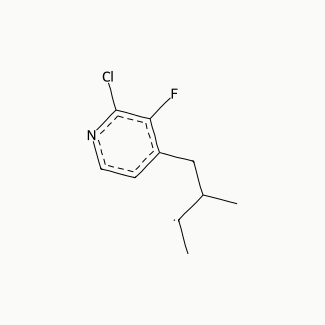 C[CH]C(C)Cc1ccnc(Cl)c1F